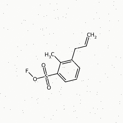 C=CCc1cccc(S(=O)(=O)OF)c1C